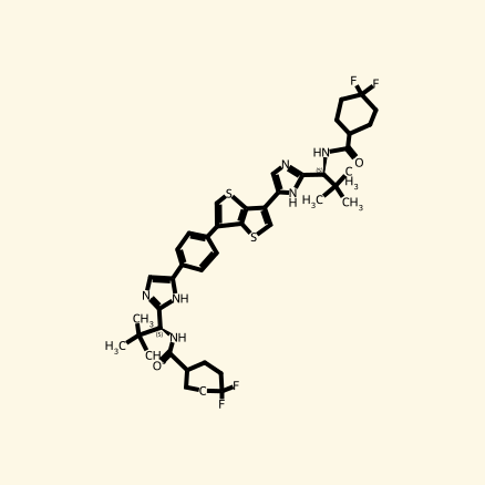 CC(C)(C)[C@H](NC(=O)C1CCC(F)(F)CC1)c1ncc(-c2ccc(-c3csc4c(-c5cnc([C@@H](NC(=O)C6CCC(F)(F)CC6)C(C)(C)C)[nH]5)csc34)cc2)[nH]1